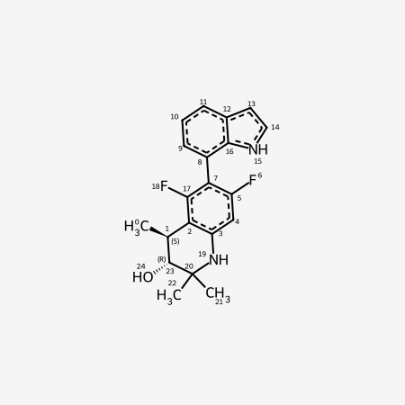 C[C@H]1c2c(cc(F)c(-c3cccc4cc[nH]c34)c2F)NC(C)(C)[C@@H]1O